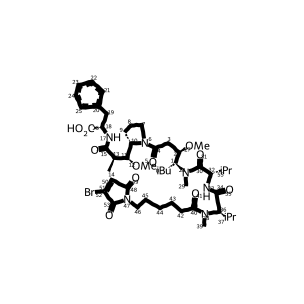 CC[C@@H](C)[C@@H]([C@@H](CC(=O)N1CCC[C@H]1[C@H](OC)[C@@H](C)C(=O)N[C@@H](Cc1ccccc1)C(=O)O)OC)N(C)C(=O)[C@@H](NC(=O)[C@H](C(C)C)N(C)C(=O)CCCCCN1C(=O)C=C(Br)C1=O)C(C)C